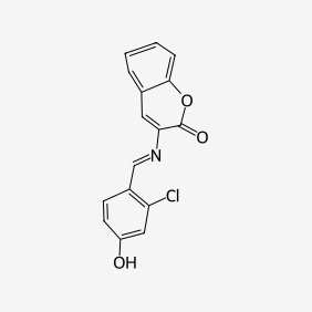 O=c1oc2ccccc2cc1N=Cc1ccc(O)cc1Cl